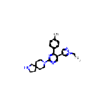 N#Cc1ccc(-c2nc(N3CCC4(CCNC4)CC3)ncc2-c2cnn(CC(F)(F)F)c2)cc1